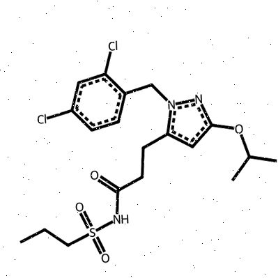 CCCS(=O)(=O)NC(=O)CCc1cc(OC(C)C)nn1Cc1ccc(Cl)cc1Cl